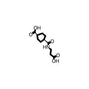 O=C(O)CCNC(=O)[C@H]1CC[C@@H](C(=O)O)CC1